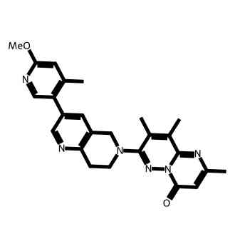 COc1cc(C)c(-c2cnc3c(c2)CN(c2nn4c(=O)cc(C)nc4c(C)c2C)CC3)cn1